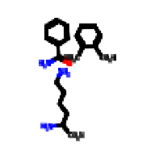 NC(=O)c1ccccc1.NCCCCC(N)C(=O)O.O=C(O)c1ccccc1C(=O)O